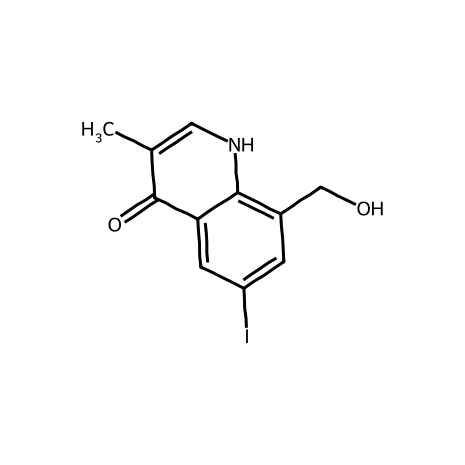 Cc1c[nH]c2c(CO)cc(I)cc2c1=O